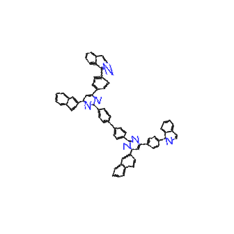 c1ccc2cc(-c3cc(-c4ccc(-c5nccc6ccccc56)cc4)nc(-c4ccc(-c5ccc(-c6nc(-c7ccc(-c8nccc9ccccc89)cc7)cc(-c7ccc8ccccc8c7)n6)cc5)cc4)n3)ccc2c1